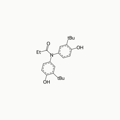 CCC(=O)N(c1ccc(O)c(C(C)(C)C)c1)c1ccc(O)c(C(C)(C)C)c1